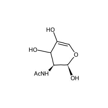 CC(=O)N[C@H]1C(O)C(O)=CO[C@H]1O